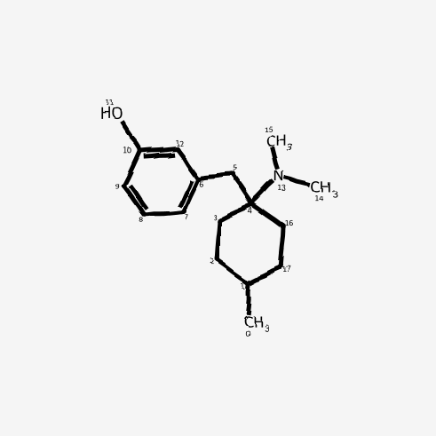 CC1CCC(Cc2cccc(O)c2)(N(C)C)CC1